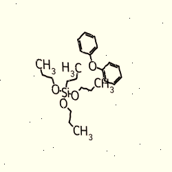 CCCO[Si](CCC)(OCCC)OCCC.c1ccc(Oc2ccccc2)cc1